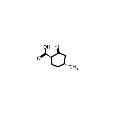 C[C@@H]1CC[C@@H](C(=O)O)C(=O)C1